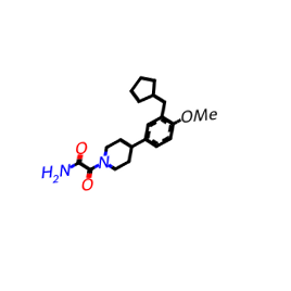 COc1ccc(C2CCN(C(=O)C(N)=O)CC2)cc1CC1CCCC1